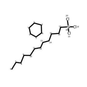 C1CCCCC1.CCCCCCCCCCCC[Si](Cl)(Cl)Cl